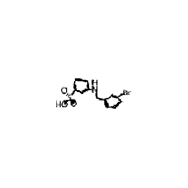 O=S(=O)(O)c1cccc(NCc2cccc(Br)c2)c1